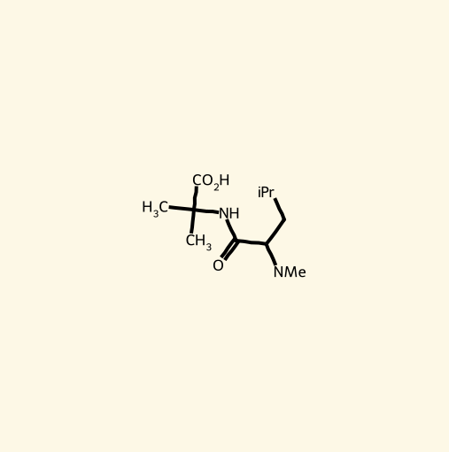 CNC(CC(C)C)C(=O)NC(C)(C)C(=O)O